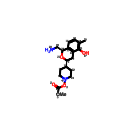 COC(=O)ON1CCC([C@@H]2Cc3c(ccc(C)c3O)[C@H](CN)O2)CC1